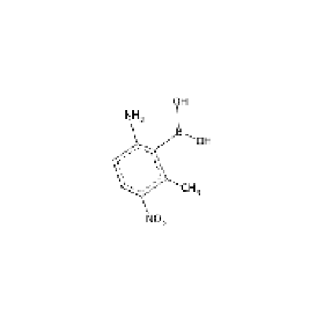 Cc1c([N+](=O)[O-])ccc(N)c1B(O)O